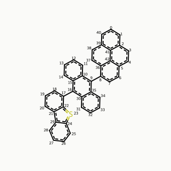 c1cc2ccc3ccc(-c4c5ccccc5c(-c5cccc6c5sc5ccccc56)c5ccccc45)c4ccc(c1)c2c34